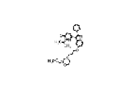 COC[C@H]1CN(CCCOc2ccn3nc(-c4ccccc4)c(-c4ccc(=O)n(C(C)C)n4)c3c2)CCO1